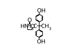 CC(C)(c1ccc(O)cc1)c1ccc(O)cc1.O=C1NCCO1